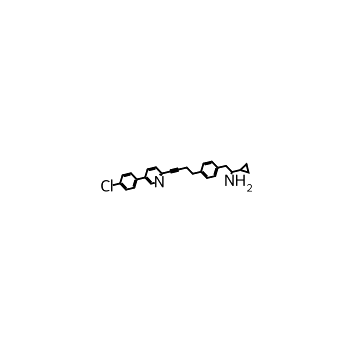 NC(Cc1ccc(CCC#Cc2ccc(-c3ccc(Cl)cc3)cn2)cc1)C1CC1